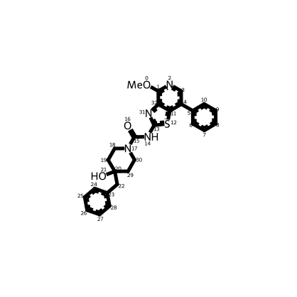 COc1ncc(-c2ccccc2)c2sc(NC(=O)N3CCC(O)(Cc4ccccc4)CC3)nc12